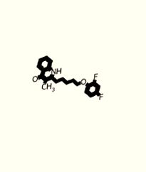 Cc1c(CCCCCOc2ccc(F)cc2F)[nH]c2ccccc2c1=O